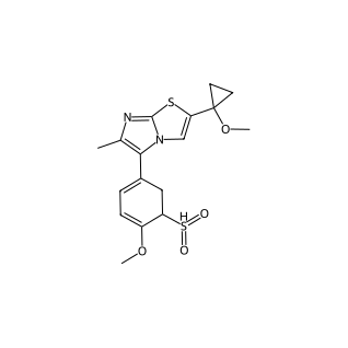 COC1=CC=C(c2c(C)nc3sc(C4(OC)CC4)cn23)CC1[SH](=O)=O